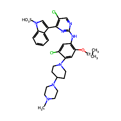 CC.CCOc1cc(N2CCC(N3CCN(C)CC3)CC2)c(Cl)cc1Nc1ncc(Cl)c(-c2cn(S(=O)(=O)O)c3ccccc23)n1